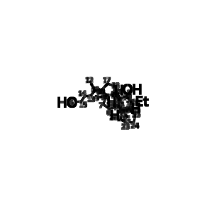 CC[C@H]1[C@H](O)[C@@H]2[C@H](CC[C@]3(C)[C@@H]([C@H](C)CCCO)CC[C@@H]23)[C@@]2(C)CCCC[C@@H]12